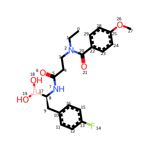 CCN(CCC(=O)N[C@@H](Cc1ccc(F)cc1)B(O)O)C(=O)c1ccc(OC)cc1